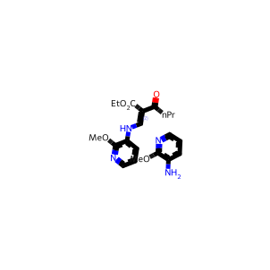 CCCC(=O)/C(=C/Nc1cccnc1OC)C(=O)OCC.COc1ncccc1N